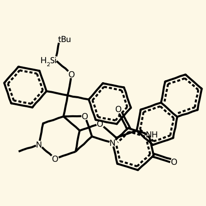 CN1CC2(C(O[SiH2]C(C)(C)C)(c3ccccc3)c3ccccc3)OC(n3ccc(=O)[nH]c3=O)C(O1)C2OCc1ccc2ccccc2c1